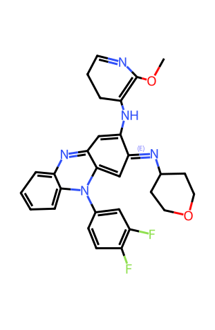 COC1=C(Nc2cc3nc4ccccc4n(-c4ccc(F)c(F)c4)c-3c/c2=N\C2CCOCC2)CCC=N1